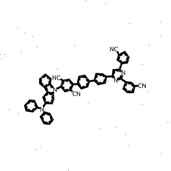 N#Cc1cccc(-c2cc(-c3ccc(-c4ccc(-c5cc(C#N)c(-n6c7ccccc7c7cc(N(c8ccccc8)c8ccccc8)ccc76)cc5C#N)cc4)cc3)nc(-c3cccc(C#N)c3)n2)c1